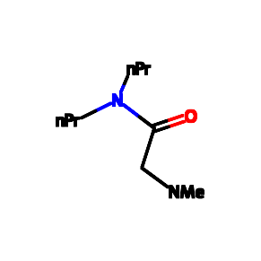 CCCN(CCC)C(=O)CNC